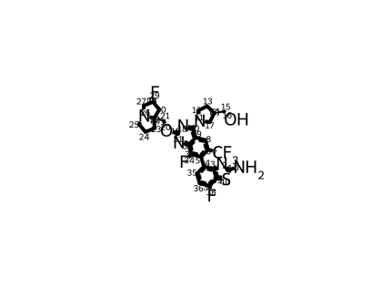 Nc1nc2c(-c3c(C(F)(F)F)cc4c(N5CC[C@@H](CO)C5)nc(OC[C@@]56CCCN5C[C@H](F)C6)nc4c3F)ccc(F)c2s1